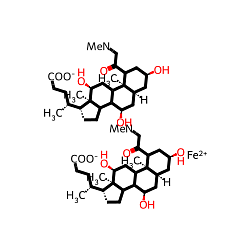 CNCC(=O)C1C[C@@H](O)C[C@H]2C[C@@H](O)C3C(C[C@H](O)[C@@]4(C)C3CC[C@@H]4[C@H](C)CCC(=O)[O-])[C@@]12C.CNCC(=O)C1C[C@@H](O)C[C@H]2C[C@@H](O)C3C(C[C@H](O)[C@@]4(C)C3CC[C@@H]4[C@H](C)CCC(=O)[O-])[C@@]12C.[Fe+2]